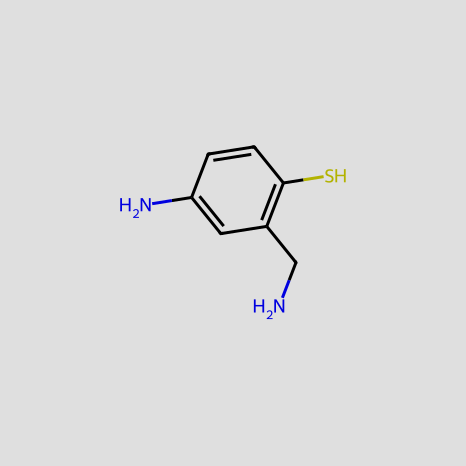 NCc1cc(N)ccc1S